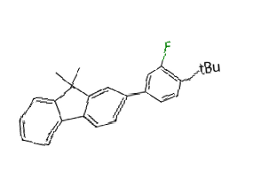 CC(C)(C)c1ccc(-c2ccc3c(c2)C(C)(C)c2ccccc2-3)cc1F